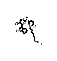 NCCCCCCCn1cc(Nc2ncc(Cl)c(-c3c[nH]c4ccccc34)n2)ccc1=O